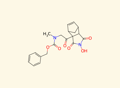 CN(CC(=O)C12C(=O)N(O)C(=O)C1C1C=CC2C1)C(=O)OCc1ccccc1